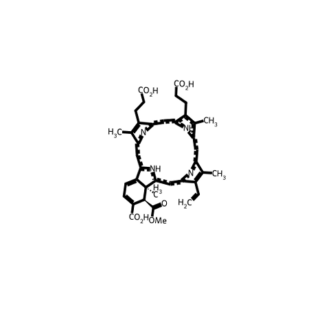 C=CC1=C(C)c2cc3[nH]c(cc4nc(cc5[nH]c(cc1n2)[C@]1(C)C5=CC=C(C(=O)O)[C@@H]1C(=O)OC)C(C)=C4CCC(=O)O)c(CCC(=O)O)c3C